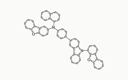 c1ccc2c(N(c3ccc(-c4ccc5c(c4)c4ccccc4n5-c4cccc5c4oc4ccccc45)cc3)c3ccc4oc5ccccc5c4c3)cccc2c1